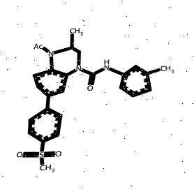 CC(=O)N1c2ccc(-c3ccc(S(C)(=O)=O)cc3)cc2N(C(=O)Nc2cccc(C)c2)CC1C